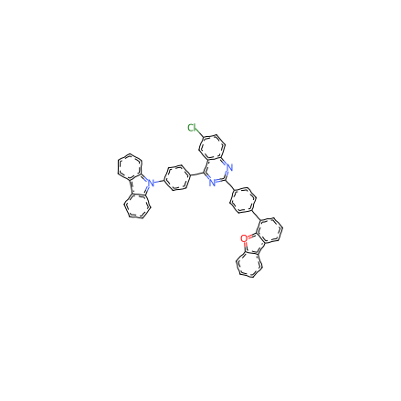 Clc1ccc2nc(-c3ccc(-c4cccc5c4oc4ccccc45)cc3)nc(-c3ccc(-n4c5ccccc5c5ccccc54)cc3)c2c1